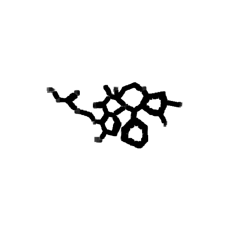 CC(C)OC(=O)OCOC1=C2C(=O)N(C)[C@@H]3CCOc4cc(F)c(F)cc4C(c4ccccc4)N3N2C=CC1O